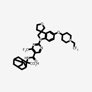 O=C(NC1(C(=O)O)C2CC3CC(C2)CC1C3)c1cnc(N2CC3(CCOC3)c3cc(OC4CCN(CC(F)(F)F)CC4)ccc32)nc1C(F)(F)F